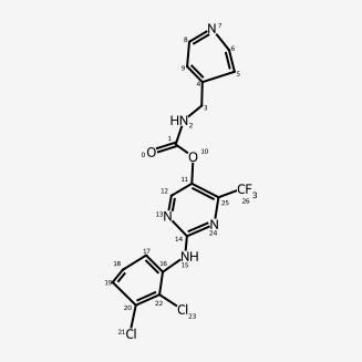 O=C(NCc1ccncc1)Oc1cnc(Nc2cccc(Cl)c2Cl)nc1C(F)(F)F